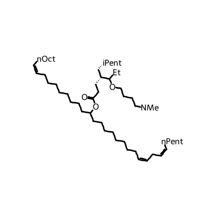 CCCCC/C=C\C/C=C\CCCCCCCCC(CCCCCCCC/C=C\CCCCCCCC)OC(=O)CC[C@H](C[C@@H](C)CCC)C(CC)OCCCCNC